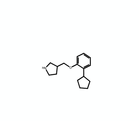 c1ccc(C2CCCC2)c(OCC2CCNC2)c1